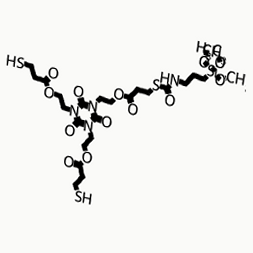 CO[Si](CCCNC(=O)SCCC(=O)OCCn1c(=O)n(CCOC(=O)CCS)c(=O)n(CCOC(=O)CCS)c1=O)(OC)OC